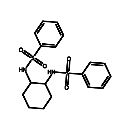 O=S(=O)(NC1CCCCC1NS(=O)(=O)c1ccccc1)c1ccccc1